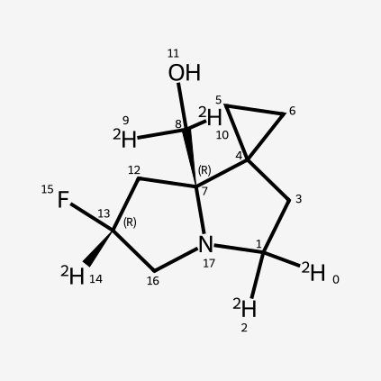 [2H]C1([2H])CC2(CC2)[C@@]2(C([2H])([2H])O)C[C@@]([2H])(F)CN12